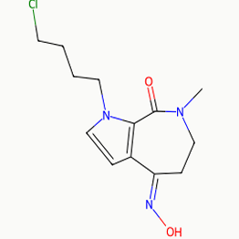 CN1CCC(=NO)c2ccn(CCCCCl)c2C1=O